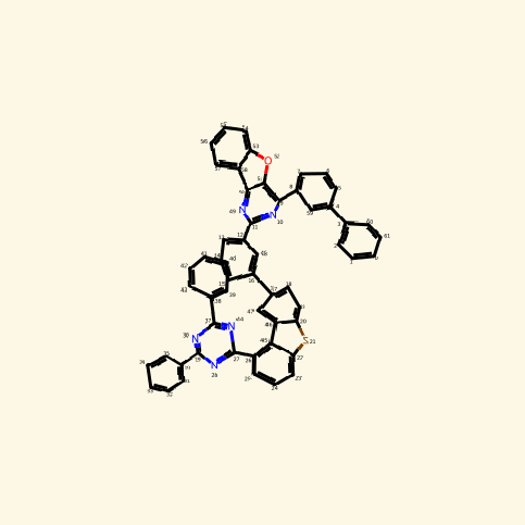 c1ccc(-c2cccc(-c3nc(-c4cccc(-c5ccc6sc7cccc(-c8nc(-c9ccccc9)nc(-c9ccccc9)n8)c7c6c5)c4)nc4c3oc3ccccc34)c2)cc1